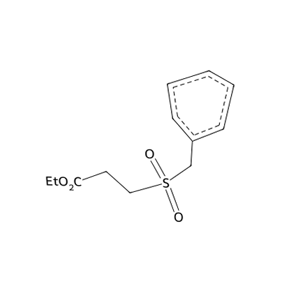 CCOC(=O)CCS(=O)(=O)Cc1ccccc1